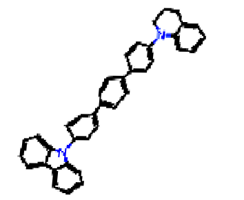 c1ccc2c(c1)CCCN2c1ccc(-c2ccc(-c3ccc(-n4c5ccccc5c5ccccc54)cc3)cc2)cc1